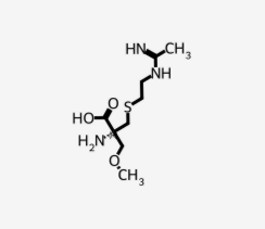 COC[C@](N)(CSCCNC(C)=N)C(=O)O